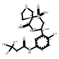 C[C@@]1(c2cc(NC(=O)CC(F)(F)F)ccc2F)CS(=O)(=O)[C@]2(CCOC2)C(=N)N1